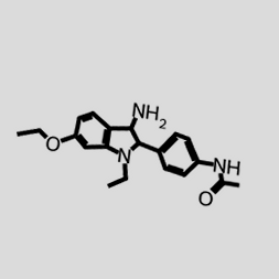 CCOc1ccc2c(c1)N(CC)C(c1ccc(NC(C)=O)cc1)C2N